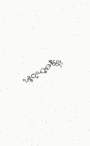 CC(C)(C)OC(=O)N1CCN([C@H]2CC[C@H](COc3ccc(S(C)(=O)=O)cc3F)C[C@@H]2F)CC1